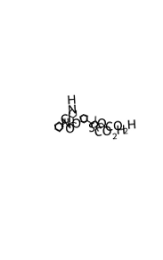 Cc1c(-c2cccc(OC(C(=O)N(Cl)c3ccccc3)C3CCNCC3)c2)sc(C(=O)O)c1OCC(=O)O